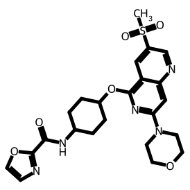 CS(=O)(=O)c1cnc2cc(N3CCOCC3)nc(OC3CCC(NC(=O)c4ncco4)CC3)c2c1